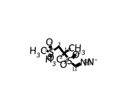 CC(C)(CS(C)(=O)=O)S(=O)(=O)C=[N+]=[N-]